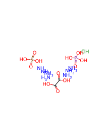 Cl.N.N.N.N.N.N.N.O=C(O)C(=O)O.O=P(O)(O)O.O=S(=O)(O)O